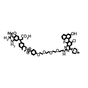 COc1cc(C(CC(=O)O)c2ccc(C)c(CN(C)S(=O)(=O)c3ccc(OCCOCCOCCOCCNc4nc(N5CCN(C)CC5)c5cc(Cl)c(-c6cc(O)cc7ccccc67)c(F)c5n4)cc3)c2)cc(N)c1N(C)N